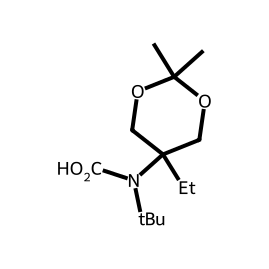 CCC1(N(C(=O)O)C(C)(C)C)COC(C)(C)OC1